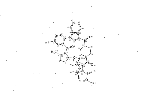 C[C@@H]1CC[C@H](C)N1C(=O)c1cc(F)ccc1-n1cc(C(=O)C2CCN(C(=O)[C@@H]3[C@H]4CC[C@H](C4)N3C(=O)OC(C)(C)C)CC2)c2ccncc21